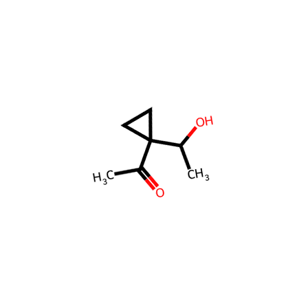 CC(=O)C1(C(C)O)CC1